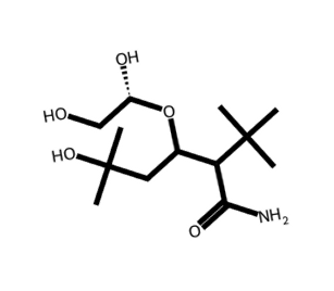 CC(C)(O)CC(O[C@@H](O)CO)C(C(N)=O)C(C)(C)C